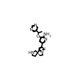 CC(Oc1cc(-c2cc3n(n2)CC[C@]32CCNC2)cnc1N)c1cncnc1